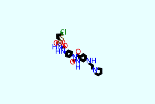 O=C(Nc1ccc(-n2c(=O)[nH]c3cc(NCCCN4CCCCC4)ccc3c2=O)cc1)NS(=O)(=O)c1ccc(Cl)s1